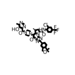 Cc1ncnc(C(=O)N2CCN(c3c4n(c5nc(-c6ccc7c(c6)COC7(C)C)nn5c3=O)[C@@H](C(=O)Nc3ccc(C(F)(F)F)cc3Cl)C[C@@H]4C)CC2)c1O